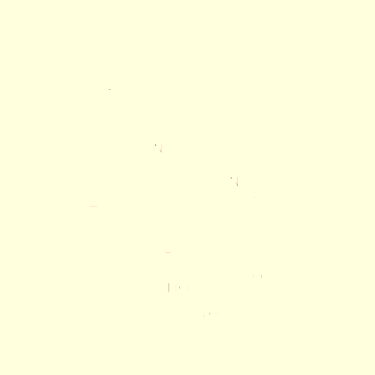 CC[C@@]1(O)C(=O)OCc2c1cc1n(c2=O)Cc2cc3ccccc3nc2-1.O=C(O)Cl